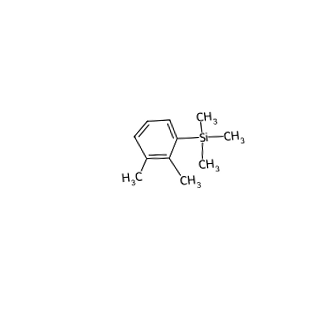 Cc1cccc([Si](C)(C)C)c1C